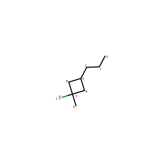 CCCC1CC(C)(F)C1